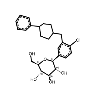 OC[C@H]1O[C@@H](c2ccc(Cl)c(CC3CCC(c4ccccc4)CC3)c2)[C@H](O)[C@@H](O)[C@@H]1O